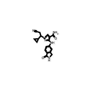 N#CCC(C1CC1)n1cc(C(N)=O)c(Nc2ccc3c(c2)CNC3=O)n1